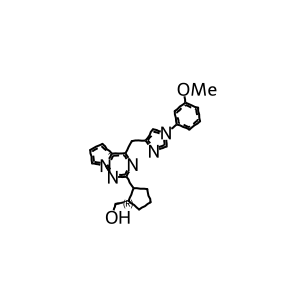 COc1cccc(-n2cnc(Cc3nc(C4CCC[C@H]4CO)nn4cccc34)c2)c1